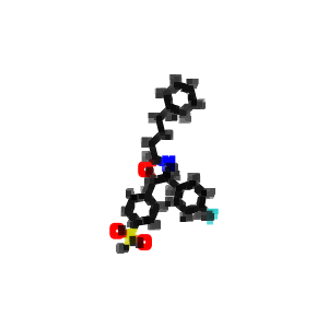 CS(=O)(=O)c1ccc(-c2oc(CCCc3ccccc3)nc2-c2ccc(F)cc2)cc1